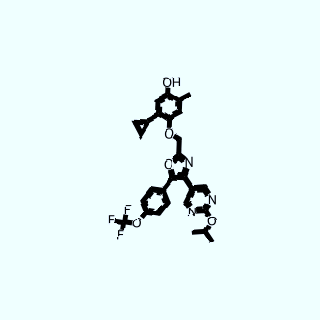 Cc1cc(OCc2nc(-c3cnc(OC(C)C)nc3)c(-c3ccc(OC(F)(F)F)cc3)o2)c(C2CC2)cc1O